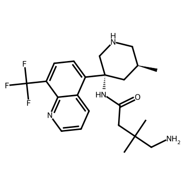 C[C@@H]1CNC[C@](NC(=O)CC(C)(C)CN)(c2ccc(C(F)(F)F)c3ncccc23)C1